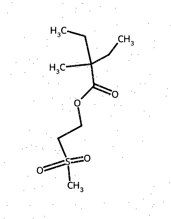 CCC(C)(CC)C(=O)OCCS(C)(=O)=O